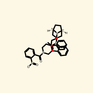 Cc1nc2ccccc2n1C1C[C@H]2CC[C@@H](C1)N2CCC1(c2ccccc2)CCN(C(=O)c2ccccc2[N+](=O)[O-])CC1